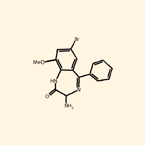 COc1cc(Br)cc2c1NC(=O)C(N)N=C2c1ccccc1